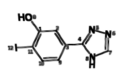 Oc1cc(-c2nnc[nH]2)ccc1I